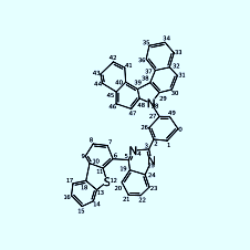 c1cc(-c2nc(-c3cccc4c3sc3ccccc34)c3ccccc3n2)cc(-n2c3ccc4ccccc4c3c3c4ccccc4ccc32)c1